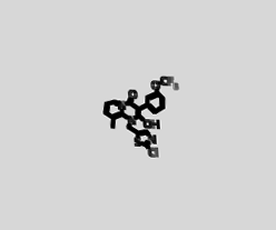 Cc1ccc[n+]2c(=O)c(-c3cccc(OC(F)(F)F)c3)c(O)n(Cc3cnc(Cl)s3)c12